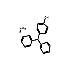 CNC.Oc1ccc(C(c2ccccc2)c2ccccc2)cc1